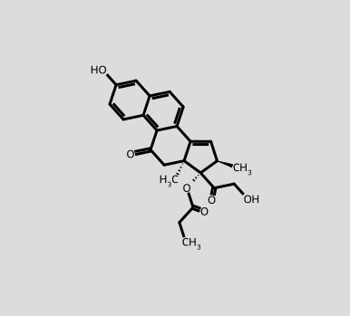 CCC(=O)O[C@@]1(C(=O)CO)[C@H](C)C=C2c3ccc4cc(O)ccc4c3C(=O)C[C@@]21C